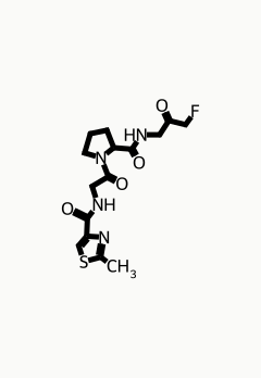 Cc1nc(C(=O)NCC(=O)N2CCCC2C(=O)NCC(=O)CF)cs1